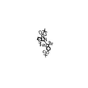 CC(C)(C)OC(=O)n1nc(-c2[nH]c3cc(OC(=O)C(C)(C)C)ccc3c2Br)c2sccc21